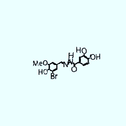 COc1cc(C=NNC(=O)c2ccc(O)c(O)c2)cc(Br)c1O